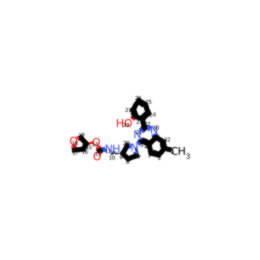 Cc1ccc2c(N3CC[C@H](CNC(=O)O[C@H]4CCOC4)C3)nc(-c3ccccc3O)nc2c1